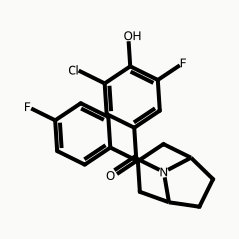 O=C(c1cc(F)c(O)c(Cl)c1)N1C2CCC1CC(c1ccc(F)cc1)C2